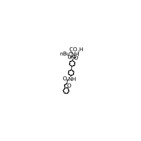 CCCC[C@H](NS(=O)(=O)c1ccc(-c2ccc(NC(=O)c3cc4ccccc4o3)cc2)cc1)C(=O)O